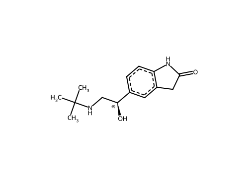 CC(C)(C)NC[C@H](O)c1ccc2c(c1)CC(=O)N2